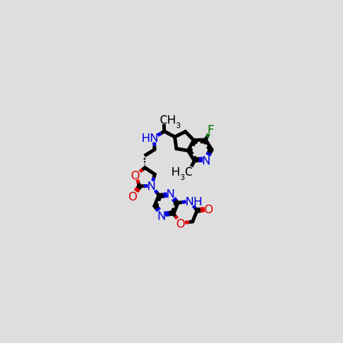 Cc1ncc(F)c2c1CC(C(C)NCC[C@@H]1CN(c3cnc4c(n3)NC(=O)CO4)C(=O)O1)C2